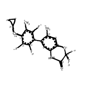 Cc1c(F)c(-c2cc3c(cc2P)OC(F)(F)C(=O)N3)c(F)c(F)c1OC1CC1